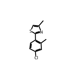 Cc1csc(-c2ccc(Cl)cc2C)n1